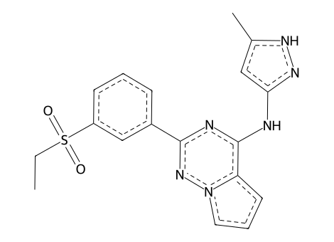 CCS(=O)(=O)c1cccc(-c2nc(Nc3cc(C)[nH]n3)c3cccn3n2)c1